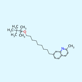 Cc1ccc2ccc(CCCCCCCCCO[Si](C)(C)C(C)(C)C)cc2n1